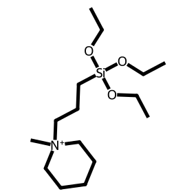 CCO[Si](CCC[N+]1(C)CCCCC1)(OCC)OCC